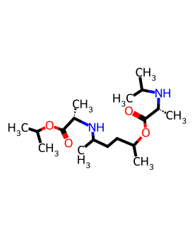 CC(C)N[C@H](C)C(=O)OC(C)CCC(C)N[C@@H](C)C(=O)OC(C)C